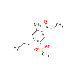 CCCc1cc(C)c(C(=O)OC)cc1S(C)(=O)=O